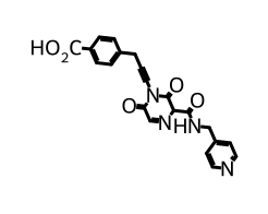 O=C(O)c1ccc(CC#CN2C(=O)C=NC(C(=O)NCc3ccncc3)C2=O)cc1